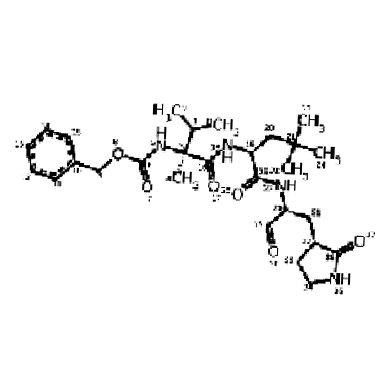 CC(C)[C@](C)(NC(=O)OCc1ccccc1)C(=O)N[C@@H](CC(C)(C)C)C(=O)N[C@H](C=O)C[C@@H]1CCNC1=O